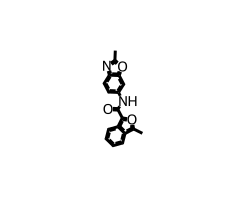 Cc1nc2ccc(NC(=O)c3oc(C)c4ccccc34)cc2o1